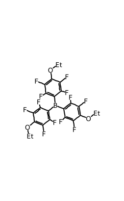 CCOc1c(F)c(F)c(B(c2c(F)c(F)c(OCC)c(F)c2F)c2c(F)c(F)c(OCC)c(F)c2F)c(F)c1F